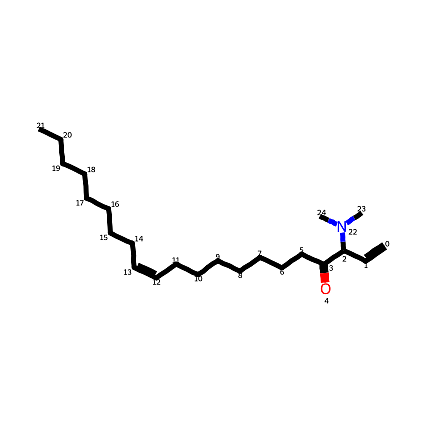 C=CC(C(=O)CCCCCCC/C=C\CCCCCCCC)N(C)C